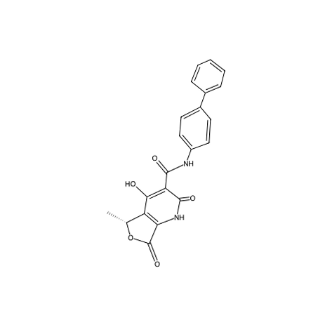 C[C@H]1OC(=O)c2[nH]c(=O)c(C(=O)Nc3ccc(-c4ccccc4)cc3)c(O)c21